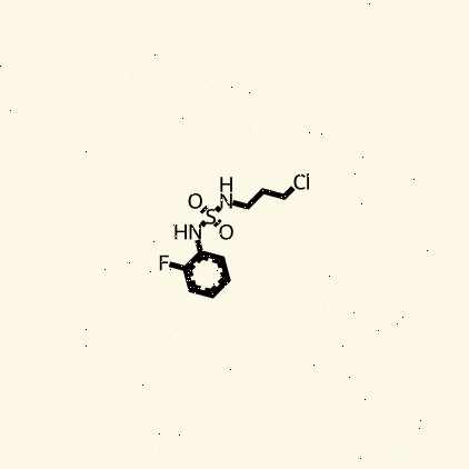 O=S(=O)(NCCCCl)Nc1ccccc1F